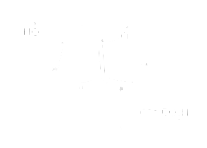 CC(C(=O)O)[C@H]1COc2cc(O)ccc21